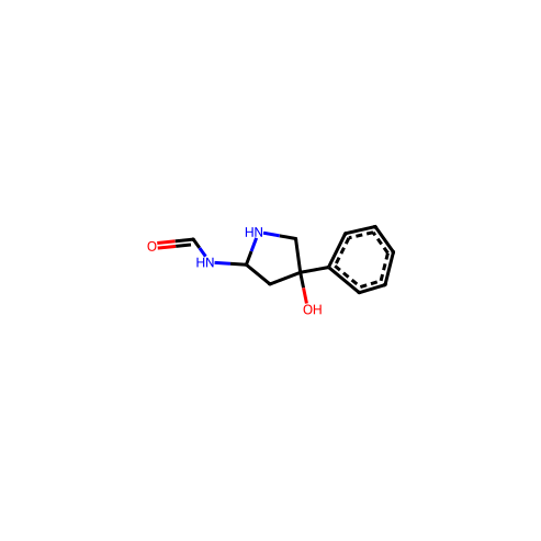 O=CNC1CC(O)(c2ccccc2)CN1